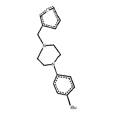 CCC(C)c1ccc(N2CCN(Cc3ccccc3)CC2)cc1